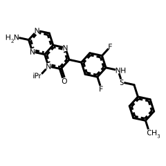 Cc1ccc(CSNc2c(F)cc(-c3nc4cnc(N)nc4n(C(C)C)c3=O)cc2F)cc1